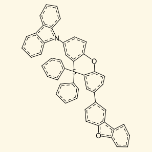 c1ccc(S2(c3ccccc3)c3cc(-c4ccc5oc6ccccc6c5c4)ccc3Oc3ccc(-n4c5ccccc5c5ccccc54)cc32)cc1